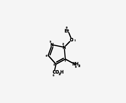 CCOn1ncc(C(=O)O)c1N